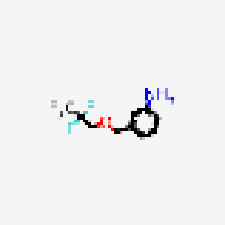 Nc1cccc(COCC(F)(F)C(F)(F)F)c1